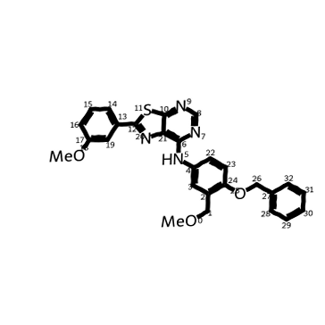 COCc1cc(Nc2ncnc3sc(-c4cccc(OC)c4)nc23)ccc1OCc1ccccc1